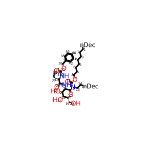 CCCCCCCCCCCCCCCCCCOC(=O)N(CCCCCCCCCCCC)[C@@H]1O[C@H](CO)[C@@H](O)[C@H](O)[C@H]1NC(=O)[C@H](CC(C)C)NC(=O)OCc1ccccc1